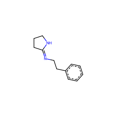 c1ccc(CCN=C2CCCN2)cc1